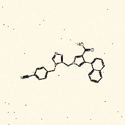 N#Cc1ccc(Cn2cncc2Cn2cc(C(=O)O)c(-c3cccc4ccccc34)c2)cc1